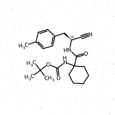 Cc1ccc(C[C@@H](C#N)NC(=O)C2(NC(=O)OC(C)(C)C)CCCCC2)cc1